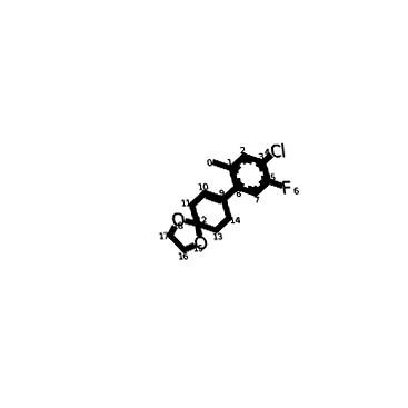 Cc1cc(Cl)c(F)cc1C1=CCC2(CC1)OCCO2